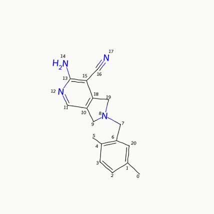 Cc1ccc(C)c(CN2Cc3cnc(N)c(C#N)c3C2)c1